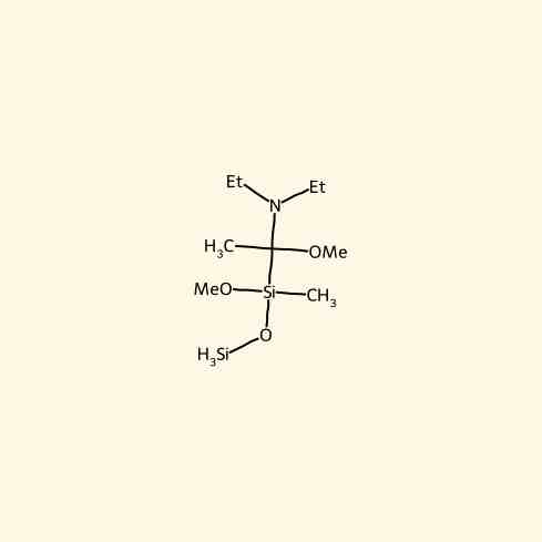 CCN(CC)C(C)(OC)[Si](C)(OC)O[SiH3]